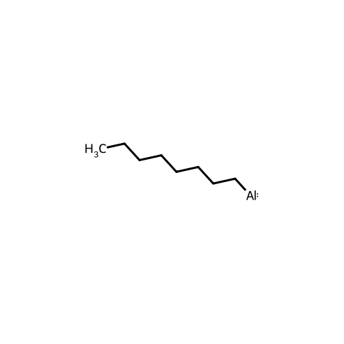 CCCCCCC[CH2][Al]